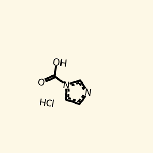 Cl.O=C(O)n1ccnc1